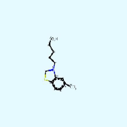 O=S(=O)(O)CCCCN1CSc2ccc(C(Cl)(Cl)Cl)cc21